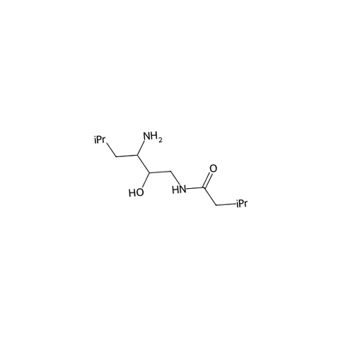 CC(C)CC(=O)NCC(O)C(N)CC(C)C